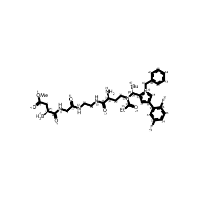 B[C@@H](CC(=O)OC)C(=O)NCC(=O)NCCNC(=O)[C@@H](N)CCN(C(=O)CC)[C@@H](c1cc(-c2cc(F)ccc2F)cn1Cc1ccccc1)C(C)(C)C